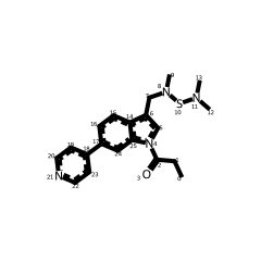 CCC(=O)n1cc(CN(C)SN(C)C)c2ccc(-c3ccncc3)cc21